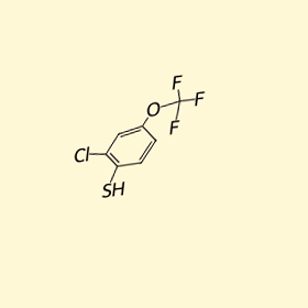 FC(F)(F)Oc1ccc(S)c(Cl)c1